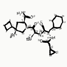 CC(C)[C@@]1(C2CCC2)C[C@@H](C(N)=O)N(C(=O)[C@@H](NC(=O)[C@@H](NC(=O)C2CC2)C2CCCCC2)C(C)(C)C)C1